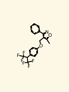 Cc1onc(-c2ccccc2)c1COc1ccc(C(C(F)(F)F)C(F)(F)F)cc1